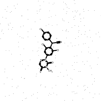 Cn1c(=S)cnn(-c2cc(Cl)c(C(C#N)c3ccc(Cl)cc3)c(Cl)c2)c1=O